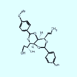 CC=CC1OC(c2ccc(CCC)cc2)O[C@H]2[C@@H]([C@H](O)CO)OC(c3ccc(OCCC)cc3)O[C@@H]12